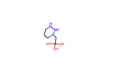 OC(O)(O)CN1CCCNN1